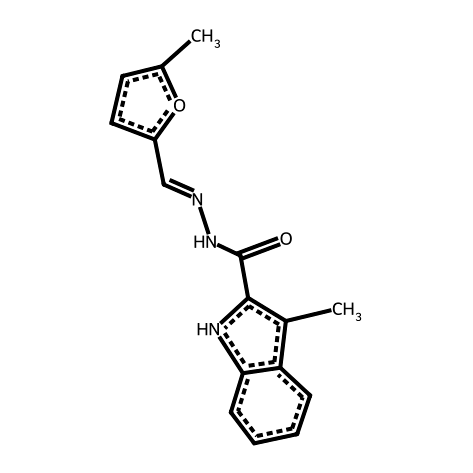 Cc1ccc(C=NNC(=O)c2[nH]c3ccccc3c2C)o1